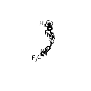 CS(=O)(=O)c1ccc(-c2cn3nc(OCCC4CCN(c5ncc(C(F)(F)F)cn5)CC4)sc3n2)c(F)c1